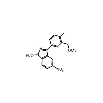 COCc1cc(-c2nn(C)c3ccc([N+](=O)[O-])cc23)ccc1F